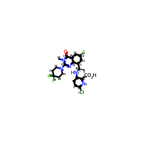 C[C@@H](Nc1ccc(Cl)nc1C(=O)O)c1cc(F)cc2c(=O)n(C)c(N3CCC(F)(F)CC3)nc12